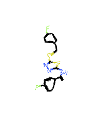 C=C(Nc1nnc(SCc2ccc(F)cc2)s1)c1ccc(F)cc1